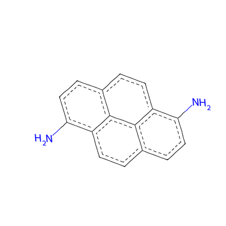 Nc1ccc2ccc3c(N)ccc4ccc1c2c43